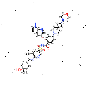 C[C@]1(O)CC[C@@H](CNc2ncc(S(=O)(=O)NC(=O)c3ccc(N4CCC5(CC4)CC(N4CCOCC4)C5)cc3Oc3cnc4[nH]ccc4c3)cc2[N+](=O)[O-])CC1